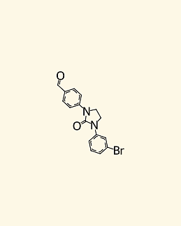 O=Cc1ccc(N2CCN(c3cccc(Br)c3)C2=O)cc1